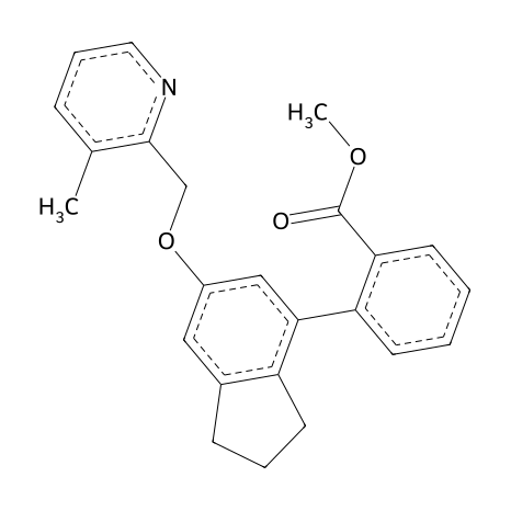 COC(=O)c1ccccc1-c1cc(OCc2ncccc2C)cc2c1CCC2